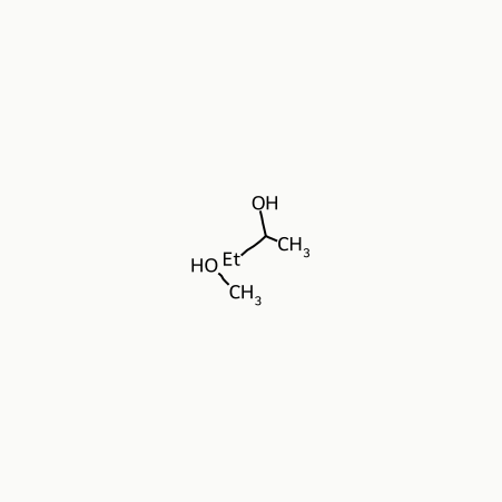 CCC(C)O.CO